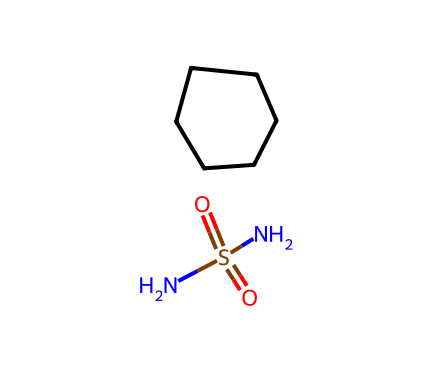 C1CCCCC1.NS(N)(=O)=O